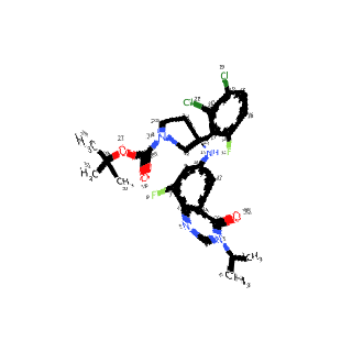 CC(C)n1cnc2c(F)cc(N[C@@]3(c4c(F)ccc(Cl)c4Cl)CCN(C(=O)OC(C)(C)C)C3)cc2c1=O